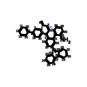 C=C/C=C\C(c1ccc(-c2ccccc2)cc1)c1ccc(-n2c3ccccc3c3ccccc32)cc1-c1ccccc1N